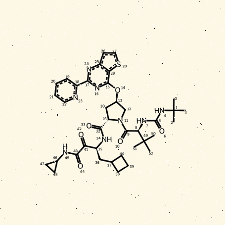 CC(C)(C)NC(=O)N[C@H](C(=O)N1C[C@H](Oc2nc(-c3ccccn3)nc3ccsc23)C[C@H]1C(=O)N[C@@H](CC1CCC1)C(=O)C(=O)NC1CC1)C(C)(C)C